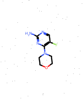 Nc1ncc(F)c(N2CCOCC2)n1